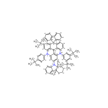 CC(C)(C)c1ccc(N2c3cc(N4c5ccccc5C5(C)CCCCC45C)cc4c3B3c5c(cccc5[Si](c5ccccc5)(c5ccccc5)c5cc(C(C)(C)C)cc2c53)N4c2cc(C(C)(C)C)cc(C(C)(C)C)c2)cc1